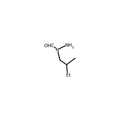 CCC(C)CN(N)C=O